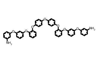 Nc1cccc(Oc2cccc(Oc3ccccc3Oc3ccc(Oc4ccc(Oc5ccccc5Oc5cccc(Oc6cccc(N)c6)c5)cc4)cc3)c2)c1